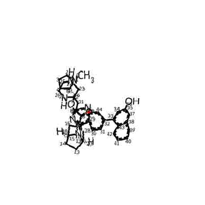 CN1CCC[C@H]1COc1nc(N2[C@@H]3CC[C@H]2CN(C(=O)CCC2CNCCN2)C3)c2ccc(-c3cc(O)cc4ccccc34)cc2n1